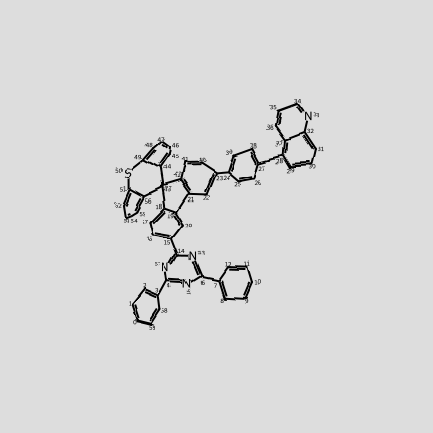 c1ccc(-c2nc(-c3ccccc3)nc(-c3ccc4c(c3)-c3cc(-c5ccc(-c6cccc7ncccc67)cc5)ccc3C43c4ccccc4Sc4ccccc43)n2)cc1